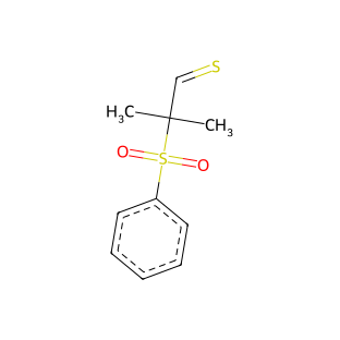 CC(C)(C=S)S(=O)(=O)c1ccccc1